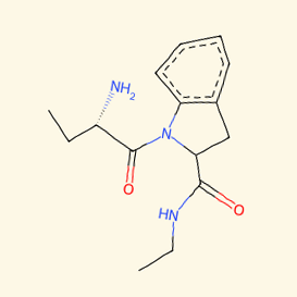 CCNC(=O)C1Cc2ccccc2N1C(=O)[C@@H](N)CC